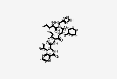 CCCC(N)C(=O)N(Cc1nn[nH]n1)C(=O)[C@H](CC1CCCCC1)NC(=O)[C@@H](NC(=O)[C@H](CC(C)C)NC(=O)c1cnccn1)[C@@H](C)CC